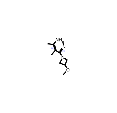 C/N=C(\C(C)=C(\C)N)N1CC(OC)C1